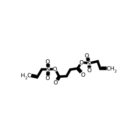 C=CCS(=O)(=O)OC(=O)CCC(=O)OS(=O)(=O)CC=C